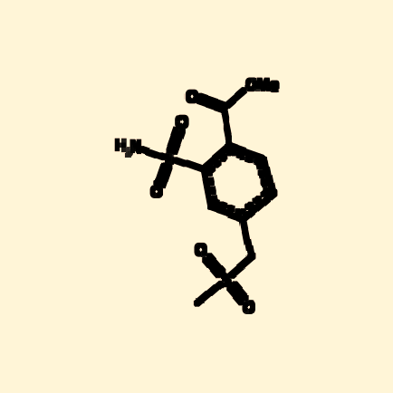 COC(=O)c1ccc(CS(C)(=O)=O)cc1S(N)(=O)=O